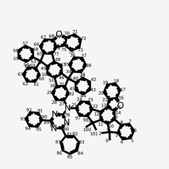 CC1(C)c2ccccc2-c2c1c1c(c3c2oc2ccccc23)-c2ccc(N(c3ccc4c(c3)C(c3ccccc3)(c3ccccc3)c3cc5c(cc3-4)C(c3ccccc3)(c3ccccc3)c3ccc4oc6ccccc6c4c3-5)c3nc(C4=CC=C=CC=C4)nc(-c4ccccc4)n3)cc2C1(C)C